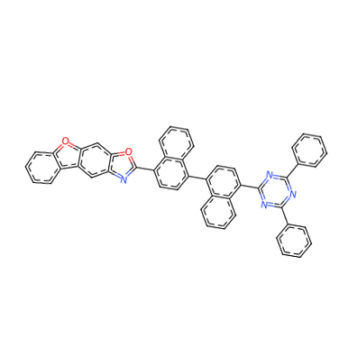 c1ccc(-c2nc(-c3ccccc3)nc(-c3ccc(-c4ccc(-c5nc6cc7c(cc6o5)oc5ccccc57)c5ccccc45)c4ccccc34)n2)cc1